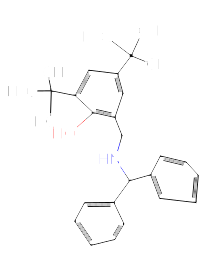 CC(C)(C)c1cc(CNC(c2ccccc2)c2ccccc2)c(O)c(C(C)(C)C)c1